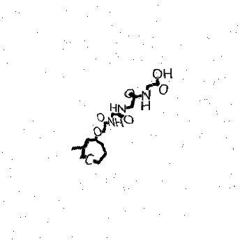 C/C1=C/C(OCC(=O)NCC(=O)NCC(=O)NCC(=O)O)CCCCC1